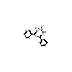 CCN(O)CC.O=C(OC(=O)c1ccccc1)c1ccccc1